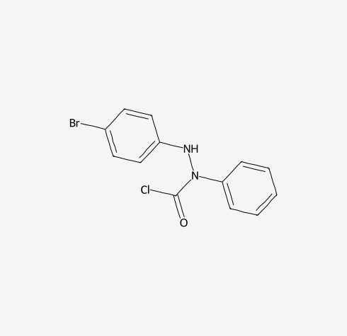 O=C(Cl)N(Nc1ccc(Br)cc1)c1ccccc1